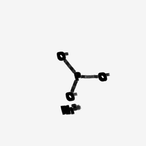 [O-]P([O-])[O-].[Rh+3]